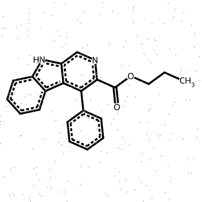 CCCOC(=O)c1ncc2[nH]c3ccccc3c2c1-c1ccccc1